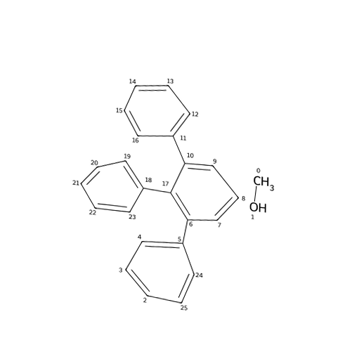 CO.c1ccc(-c2cccc(-c3ccccc3)c2-c2ccccc2)cc1